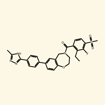 CCc1c(C(=O)N2CCOc3ccc(-c4ccc(-c5nnc(C)[nH]5)cc4)cc3C2)ccc(S(C)(=O)=O)c1F